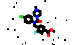 COC(=O)c1ccc(CN(C(=O)N2CCN(C)CC2)c2ccc(Cl)cc2)c(F)c1